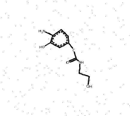 Nc1ccc(CC(=O)NCCO)cc1O